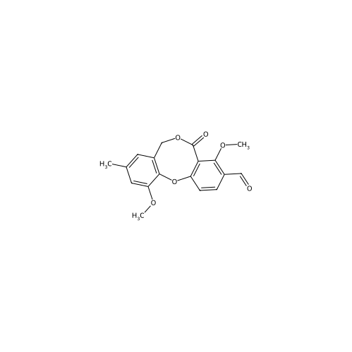 COc1cc(C)cc2c1Oc1ccc(C=O)c(OC)c1C(=O)OC2